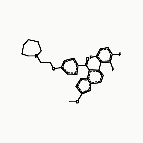 COc1ccc2c(C(=O)c3ccc(OCCN4CCCCCC4)cc3)c(-c3c(F)ccc(F)c3F)ccc2c1